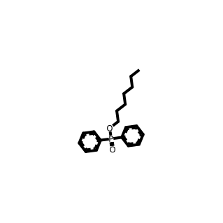 CCCCCCCOP(=O)(c1ccccc1)c1ccccc1